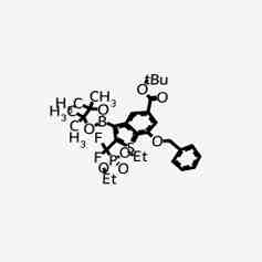 CCOP(=O)(OCC)C(F)(F)c1sc2c(OCc3ccccc3)cc(C(=O)OC(C)(C)C)cc2c1B1OC(C)(C)C(C)(C)O1